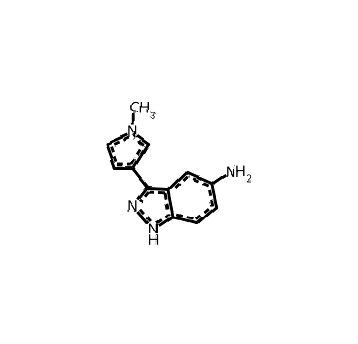 Cn1ccc(-c2n[nH]c3ccc(N)cc23)c1